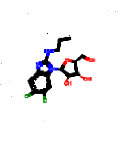 CCCNc1nc2cc(Cl)c(Cl)cc2n1[C@H]1O[C@@H](CO)[C@H](O)[C@@H]1O